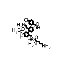 CC(=O)Nc1ccc(C=O)cc1.NCCC[C@H](N)C(=O)O.NCCc1ccccc1.O=C(O)c1ccc(Cl)cc1